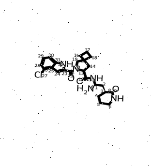 N[C@H](C[C@@H]1CCCNC1=O)NC(=O)C1CC2(CCC2)CN1C(=O)c1cc2c(Cl)cccc2[nH]1